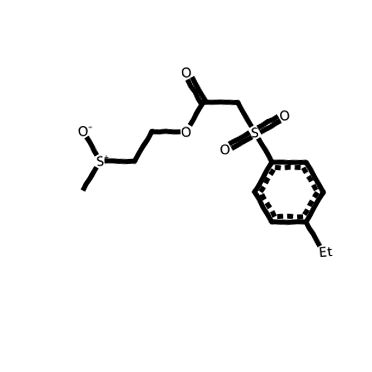 CCc1ccc(S(=O)(=O)CC(=O)OCC[S+](C)[O-])cc1